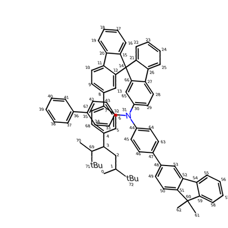 CC(CC(c1ccc(-c2ccc3c(c2)C2(c4ccccc4-3)c3ccccc3-c3ccc(N(c4ccc(-c5ccccc5)cc4)c4ccc(-c5ccc6c(c5)-c5ccccc5C6(C)C)cc4)cc32)cc1)C(C)C(C)(C)C)C(C)(C)C